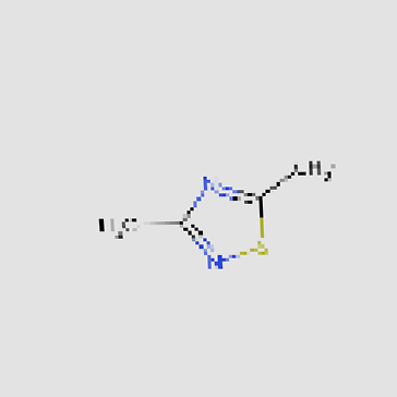 [CH2]c1nc(C)ns1